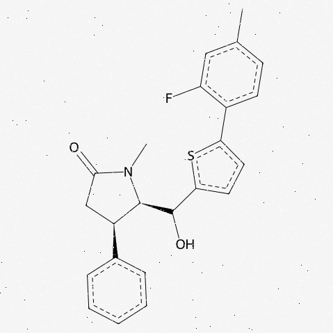 Cc1ccc(-c2ccc(C(O)[C@H]3[C@@H](c4ccccc4)CC(=O)N3C)s2)c(F)c1